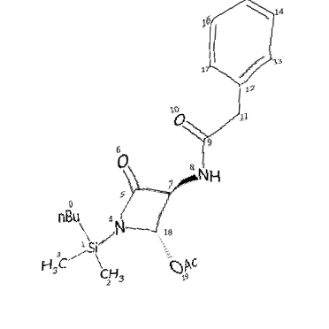 CCCC[Si](C)(C)N1C(=O)[C@@H](NC(=O)Cc2ccccc2)[C@@H]1OC(C)=O